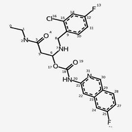 CC[N]C(=O)CC(NCc1ccc(F)cc1Cl)OC(=O)Nc1cc2cc(F)ccc2cn1